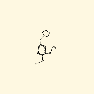 COc1ccc(CC2CCCC2)cc1OC